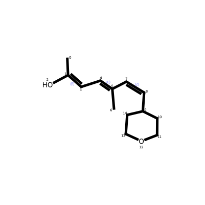 C\C(O)=C/C=C(C)/C=C\C1CCOCC1